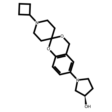 O[C@@H]1CCN(c2ccc3c(c2)COC2(CCN(C4CCC4)CC2)O3)C1